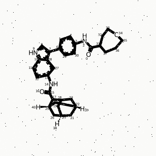 O=C(Nc1ccc(-c2c[nH]c3ccc(NC(=O)C4C5C[C@H]6C[C@@H](C5)C[C@@H]4C6)cc23)cc1)C1CCCCCC1